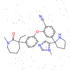 CCC1(c2cccc(Oc3cc(C4(c5cncn5C)CCCN4)ccc3C#N)c2)CCCCN(C)C1=O